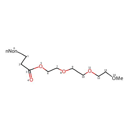 CCCCCCCCCCCC(=O)OCCOCCOCCOC